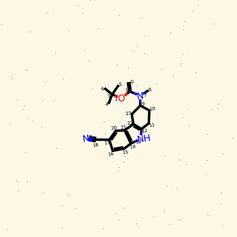 C=C(OC(C)(C)C)N(C)C1CCc2[nH]c3ccc(C#N)cc3c2C1